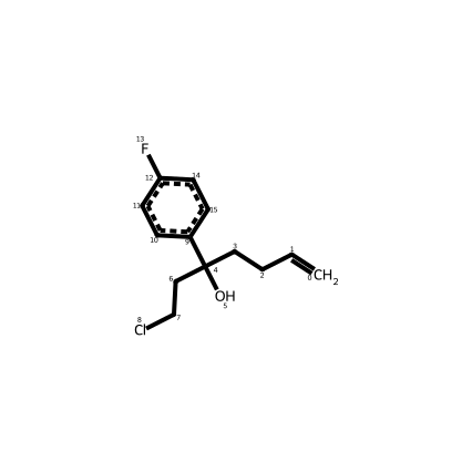 C=CCCC(O)(CCCl)c1ccc(F)cc1